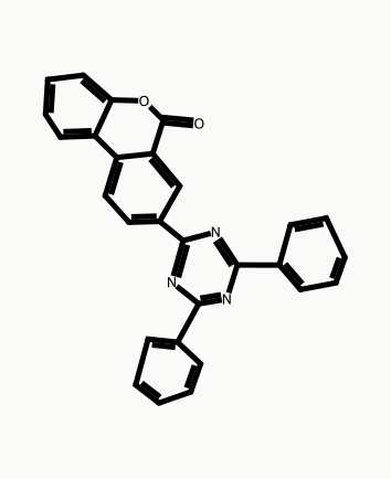 O=c1oc2ccccc2c2ccc(-c3nc(-c4ccccc4)nc(-c4ccccc4)n3)cc12